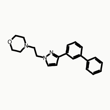 c1ccc(-c2cccc(-c3ccn(CCN4CCOCC4)n3)c2)cc1